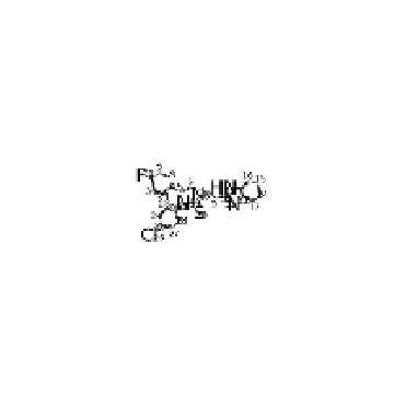 Fc1ccc(-c2cn(CCc3nc4ccccc4[nH]3)c(=S)n2-c2ccc(Cl)cc2)cc1